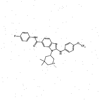 C[C@H]1CC(n2c(Nc3ccc(OC(F)(F)F)cc3)nc3ccc(C(=O)Nc4ccc(F)cc4)cc32)CC(C)(C)C1